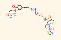 O=C1CCC(N2Cc3cc(C#CCCNCCOCCOCCNC(=O)C4(Cc5cccc(Nc6nccs6)n5)CCCCC4)ccc3C2=O)C(=O)N1